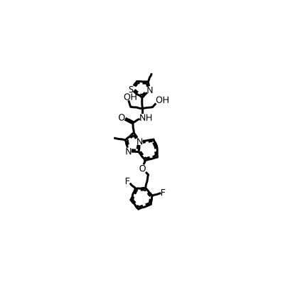 Cc1csc(C(CO)(CO)NC(=O)c2c(C)nc3c(OCc4c(F)cccc4F)cccn23)n1